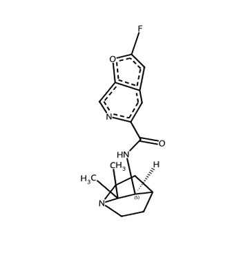 CC1(C)[C@@H](NC(=O)c2cc3cc(F)oc3cn2)C2CCN1CC2